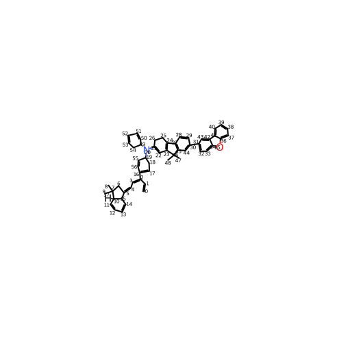 C=C/C(=C\C=C1/CC(C)(C)[C@H]2C=CC=CC12)C1=CCC(N(C2=CC3=C(CC2)c2ccc(-c4ccc5oc6ccccc6c5c4)cc2C3(C)C)[C@H]2C=CC=CC2)C=C1